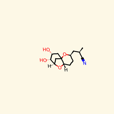 C[C@@H](C#N)C[C@H]1CC[C@@H]2O[C@@H]3CC2(C[C@@H](O)[C@H]3O)O1